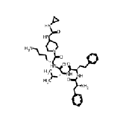 CC(C)C[C@@H](NC(=O)[C@@H](CCc1ccccc1)NC(=O)[C@H](N)Cc1ccccc1)C(=O)N[C@H](CCCCN)C(=O)N1CCC(NC(=O)NC2CC2)CC1